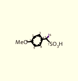 COc1ccc(C(I)S(=O)(=O)O)cc1